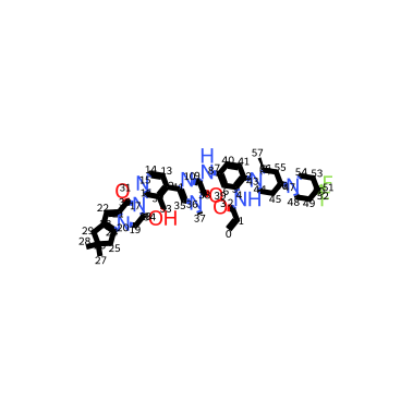 C=CC(=O)Nc1cc(Nc2nc(-c3ccnc(N4CCn5c(cc6c5CC(C)(C)C6)C4=O)c3CO)cn(C)c2=O)ccc1N1CCC(N2CCC(F)(F)CC2)C[C@@H]1C